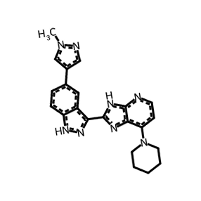 Cn1cc(-c2ccc3[nH]nc(-c4nc5c(N6CCCCC6)ccnc5[nH]4)c3c2)cn1